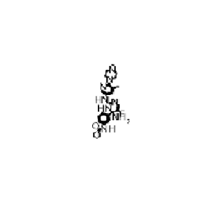 Cc1cc(NC2=NC=C(F)C(N)(c3ccc4oc(=O)[nH]c4c3)N2)cnc1N1CCN(C)CC1